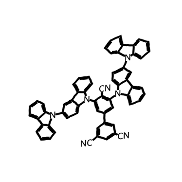 N#Cc1cc(C#N)cc(-c2cc(-n3c4ccccc4c4cc(-n5c6ccccc6c6ccccc65)ccc43)c(C#N)c(-n3c4ccccc4c4cc(-n5c6ccccc6c6ccccc65)ccc43)c2)c1